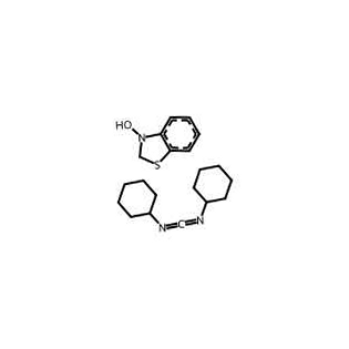 C(=NC1CCCCC1)=NC1CCCCC1.ON1CSc2ccccc21